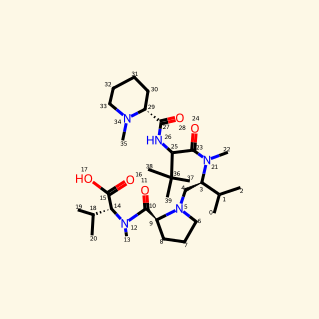 CC(C)[C@@H](CN1CCC[C@H]1C(=O)N(C)[C@@H](C(=O)O)C(C)C)N(C)C(=O)C(NC(=O)[C@H]1CCCCN1C)C(C)(C)C